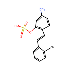 Nc1ccc(C=Cc2cccc[c]2[Na])c(OS(=O)(=O)O)c1